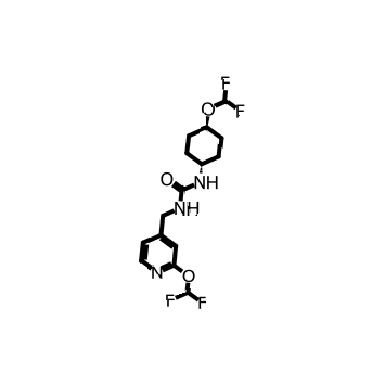 O=C(NCc1ccnc(OC(F)F)c1)N[C@H]1CC[C@H](OC(F)F)CC1